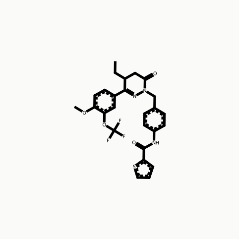 CCC1CC(=O)N(Cc2ccc(NC(=O)c3cccs3)cc2)N=C1c1ccc(OC)c(OC(F)(F)F)c1